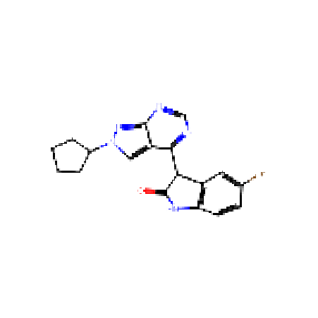 O=C1Nc2ccc(Br)cc2C1c1ncnc2nn(C3CCCC3)cc12